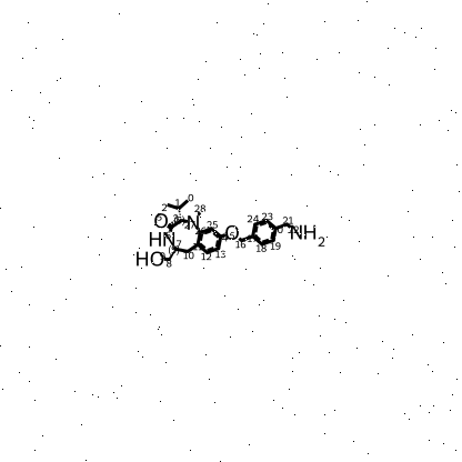 CC(C)[C@H]1C(=O)N[C@H](CO)Cc2ccc(OCc3ccc(CN)cc3)cc2N1C